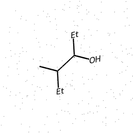 CC[C](O)C(C)CC